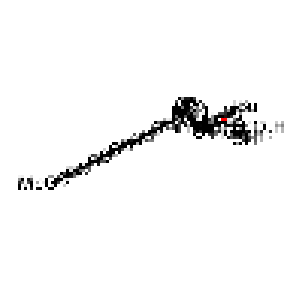 COCCOCCOCCOCCOCCOCCOCCOCCOCCOCCOCCOCCn1cc([C@@H](CC(=O)N[C@H](C(=O)N[C@@H](C)C(=O)Nc2ccc(COC(=O)C(C)(C)C)c(CC[C@@H]3O[C@H](C(=O)O)[C@@H](O)[C@H](O)[C@H]3O)c2)C(C)C)N2C(=O)C=CC2=O)nn1